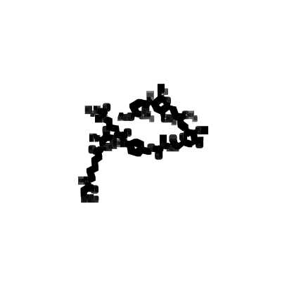 CSCC(=O)NCCCCCC(=O)N[C@@H](C(=O)N[C@@H](CCCNC(N)=O)C(=O)Nc1ccc(COC(=O)NNC(=O)C[C@@H]2C[C@@]3(CO3)[C@H](O)[C@@H](/C=C/C(C)=C/C[C@@H]3O[C@H](C)[C@H](NC(=O)/C=C\[C@H](C)OC(C)=O)C[C@@H]3C)O2)cc1)C(C)C